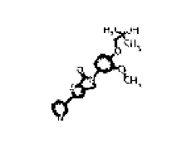 COc1cc(N2Cc3cc(-c4cccnc4)sc3C2=O)ccc1OCC(C)(C)O